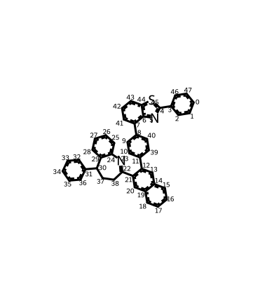 c1ccc(-c2nc3c(-c4ccc(-c5cc6ccccc6cc5C5=Nc6ccccc6C(c6ccccc6)CC5)cc4)cccc3s2)cc1